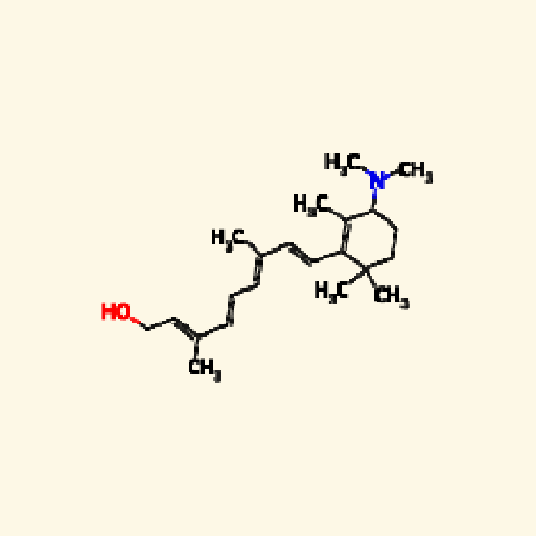 CC(C=CC1=C(C)C(N(C)C)CCC1(C)C)=CC=CC(C)=CCO